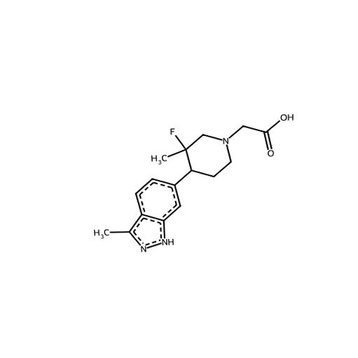 Cc1n[nH]c2cc(C3CCN(CC(=O)O)CC3(C)F)ccc12